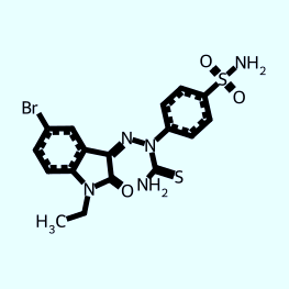 CCN1C(=O)/C(=N\N(C(N)=S)c2ccc(S(N)(=O)=O)cc2)c2cc(Br)ccc21